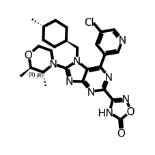 C[C@@H]1[C@@H](C)OCCN1c1nc2nc(-c3noc(=O)[nH]3)nc(-c3cncc(Cl)c3)c2n1C[C@H]1CC[C@H](C)CC1